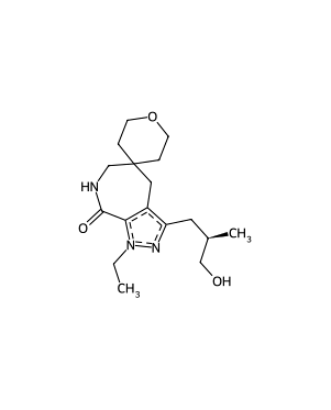 CCn1nc(C[C@@H](C)CO)c2c1C(=O)NCC1(CCOCC1)C2